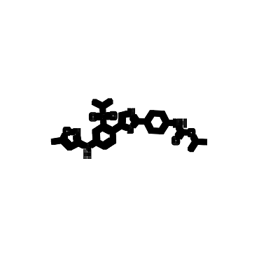 Cc1cc(Nc2ccc(-c3cnc(C4CCC(NC(=O)OC(C)C)CC4)s3)c(S(=O)(=O)C(C)C)c2)no1